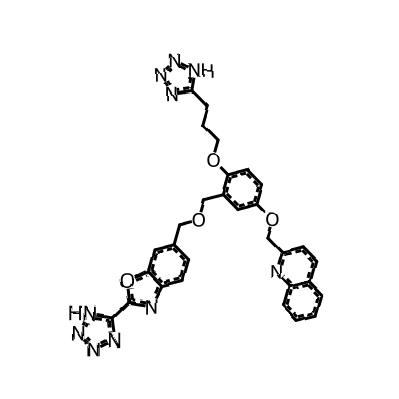 c1ccc2nc(COc3ccc(OCCCc4nnn[nH]4)c(COCc4ccc5nc(-c6nnn[nH]6)oc5c4)c3)ccc2c1